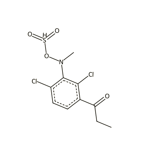 CCC(=O)c1ccc(Cl)c(N(C)O[SH](=O)=O)c1Cl